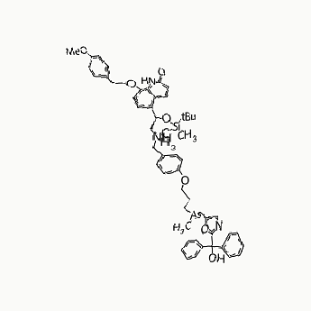 COc1ccc(COc2ccc([C@H](CNCc3ccc(OCCC[As](C)Cc4cnc(C(O)(c5ccccc5)c5ccccc5)o4)cc3)O[Si](C)(C)C(C)(C)C)c3ccc(=O)[nH]c23)cc1